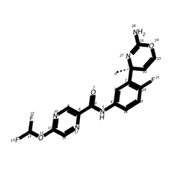 C[C@@]1(c2cc(NC(=O)c3cnc(OC(F)F)cn3)ccc2F)C=COC(N)=N1